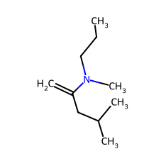 C=C(CC(C)C)N(C)CCC